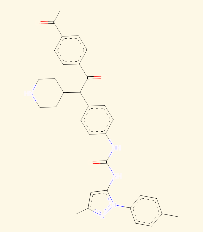 Cc1ccc(-n2nc(C(C)(C)C)cc2NC(=O)Nc2ccc(C(C(=O)c3ccc(C(=O)C(F)(F)F)cc3)C3CCNCC3)cc2)cc1